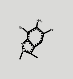 Cc1c2cc(Br)c(N)c(Br)c2nn1C